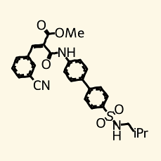 COC(=O)C(=Cc1cccc(C#N)c1)C(=O)Nc1ccc(-c2ccc(S(=O)(=O)NCC(C)C)cc2)cc1